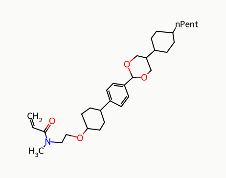 C=CC(=O)N(C)CCOC1CCC(c2ccc(C3OCC(C4CCC(CCCCC)CC4)CO3)cc2)CC1